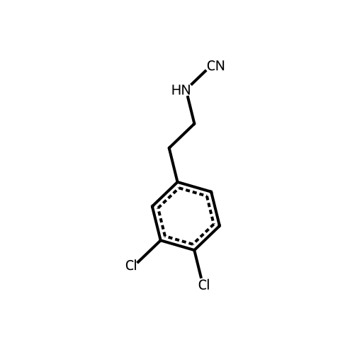 N#CNCCc1ccc(Cl)c(Cl)c1